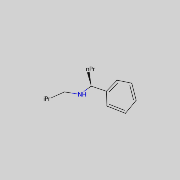 [CH2]CC[C@H](NCC(C)C)c1ccccc1